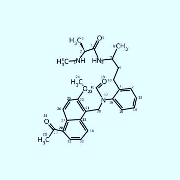 CN[C@@H](C)C(=O)NC(C)CCc1ccccc1N(C=O)Cc1c(OC)ccc2c(C(C)=O)cccc12